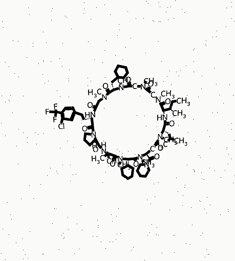 CC[C@H](C)[C@@H]1NC(=O)[C@H](CC(C)C)N(C)C(=O)C[C@@H](C(=O)N2CCCCC2)N(C)C(=O)[C@H](C2CCCCC2)N(C)C(=O)C(C)(C)NC(=O)[C@@H]2CCCN2C(=O)[C@H](CCc2ccc(C(F)(F)F)c(Cl)c2)NC(=O)CN(C)C(=O)[C@H](CC2CCCCC2)N(C)C(=O)CN(C)C(=O)CN(C)C1=O